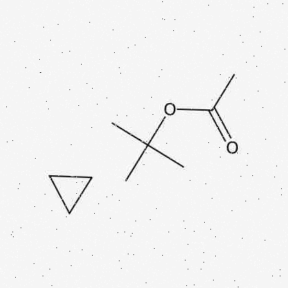 C1CC1.CC(=O)OC(C)(C)C